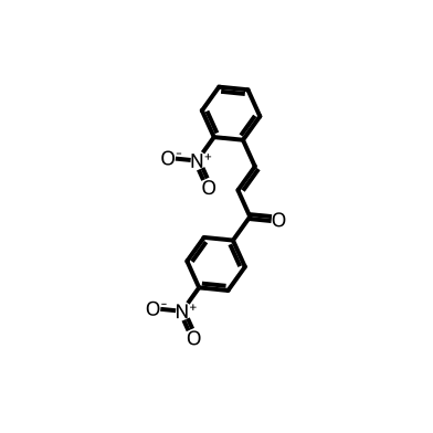 O=C(C=Cc1ccccc1[N+](=O)[O-])c1ccc([N+](=O)[O-])cc1